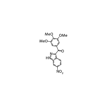 COc1cc(C(=O)c2n[nH]c3cc([N+](=O)[O-])ccc23)cc(OC)c1OC